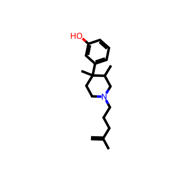 C=C(C)CCCN1CCC(C)(c2cccc(O)c2)C(C)C1